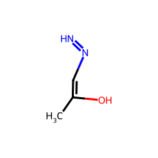 C/C(O)=C/N=N